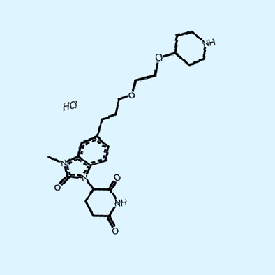 Cl.Cn1c(=O)n(C2CCC(=O)NC2=O)c2ccc(CCCOCCOC3CCNCC3)cc21